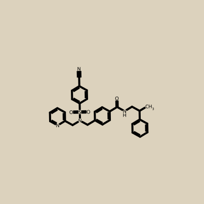 CC(CNC(=O)c1ccc(CN(Cc2ccccn2)S(=O)(=O)c2ccc(C#N)cc2)cc1)c1ccccc1